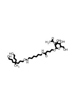 CC(=O)N1C2C(OCCCC(=O)NCCCCCCNOCCCC(C)(CCCO)CCCO)OC(CO)C(O)C21O